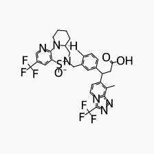 Cc1ccc(C(CC(=O)O)c2ccn3c(C(F)(F)F)nnc3c2C)cc1CN1C[C@@H]2CCCCN2c2ncc(C(F)(F)F)cc2[S+]1[O-]